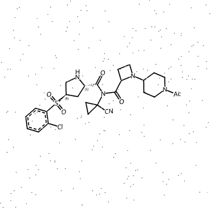 CC(=O)N1CCC(N2CCC2C(=O)N(C(=O)[C@@H]2C[C@@H](S(=O)(=O)c3ccccc3Cl)CN2)C2(C#N)CC2)CC1